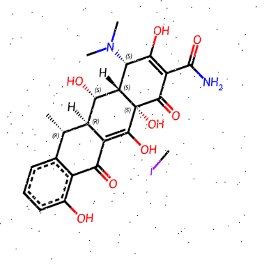 CI.C[C@H]1c2cccc(O)c2C(=O)C2=C(O)[C@]3(O)C(=O)C(C(N)=O)=C(O)[C@@H](N(C)C)[C@H]3[C@@H](O)[C@@H]21